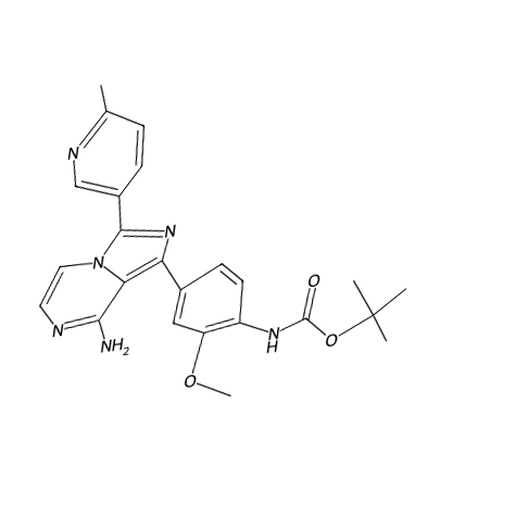 COc1cc(-c2nc(-c3ccc(C)nc3)n3ccnc(N)c23)ccc1NC(=O)OC(C)(C)C